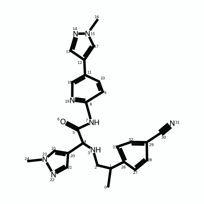 CC(CNC(C(=O)Nc1ccc(-c2cnn(C)c2)cn1)c1cnn(C)c1)c1ccc(C#N)cc1